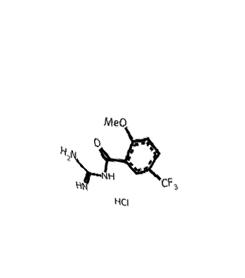 COc1ccc(C(F)(F)F)cc1C(=O)NC(=N)N.Cl